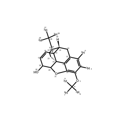 [2H]c1c([2H])c(OC([2H])([2H])[2H])c2c3c1C[C@@H]1[C@@H]4C=CC(O)C(O2)[C@]34CCN1C([2H])([2H])[2H]